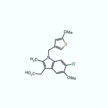 COc1cc(Cn2c(C)c(CC(=O)O)c3cc(OC)c(Cl)cc32)cs1